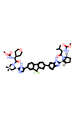 COC(=O)N[C@H](C(=O)N1[C@@H]2CC[C@@H](C2)[C@H]1c1nc2ccc(-c3ccc4c(c3)C(F)(F)c3cc(-c5cnc([C@@H]6C[Si](C)(C)CN6C(=O)[C@@H](NC(=O)OC)C6CCOCC6)[nH]5)ccc3-4)cc2[nH]1)C(C)C